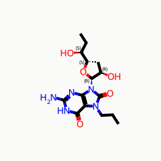 CCCn1c(=O)n([C@@H]2O[C@H]([C@@H](O)CC)C[C@H]2O)c2nc(N)[nH]c(=O)c21